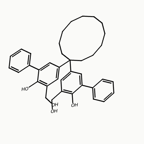 OCc1cc(C2(c3cc(CO)c(O)c(-c4ccccc4)c3)CCCCCCCCCCC2)cc(-c2ccccc2)c1O